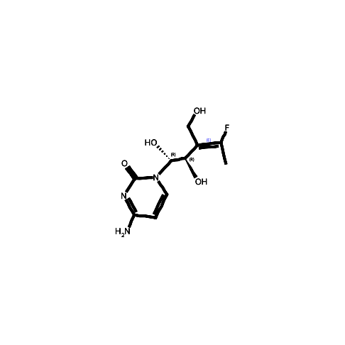 C/C(F)=C(/CO)[C@@H](O)[C@@H](O)n1ccc(N)nc1=O